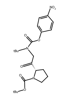 CC(C)(C)OC(=O)N1CCC[C@H]1C(=O)CN(C(=O)Oc1ccc([N+](=O)[O-])cc1)C(C)(C)C